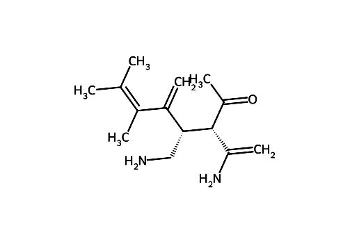 C=C(N)[C@@H](C(C)=O)[C@H](CN)C(=C)C(C)=C(C)C